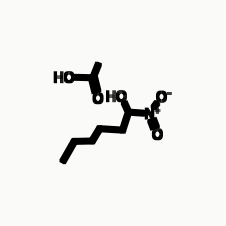 CC(=O)O.CCCCCC(O)[N+](=O)[O-]